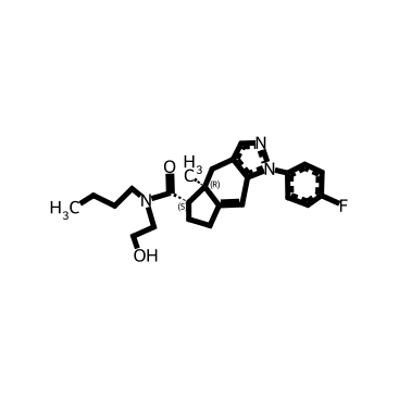 CCCCN(CCO)C(=O)[C@H]1CCC2=Cc3c(cnn3-c3ccc(F)cc3)C[C@@]21C